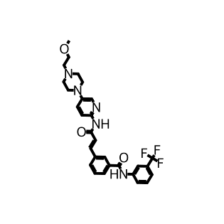 COCCN1CCN(c2ccc(NC(=O)/C=C/c3cccc(C(=O)Nc4cccc(C(F)(F)F)c4)c3)nc2)CC1